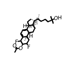 CC(=O)OC1C(F)C[C@@]2(C)C(=CC=C3[C@@H]4CC[C@H]([C@H](C)CCCC(C)(C)O)[C@@]4(C)CC[C@@H]32)C1F